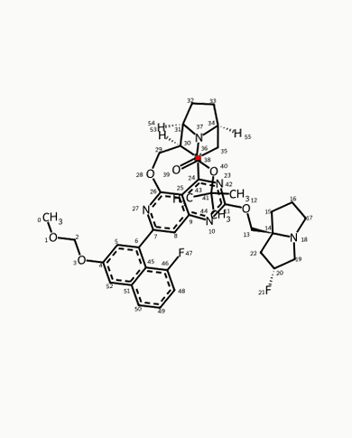 COCOc1cc(-c2cc3nc(OC[C@@]45CCCN4C[C@H](F)C5)nc4c3c(n2)OC[C@H]2[C@H]3CC[C@@H](CN42)N3C(=O)OC(C)(C)C)c2c(F)cccc2c1